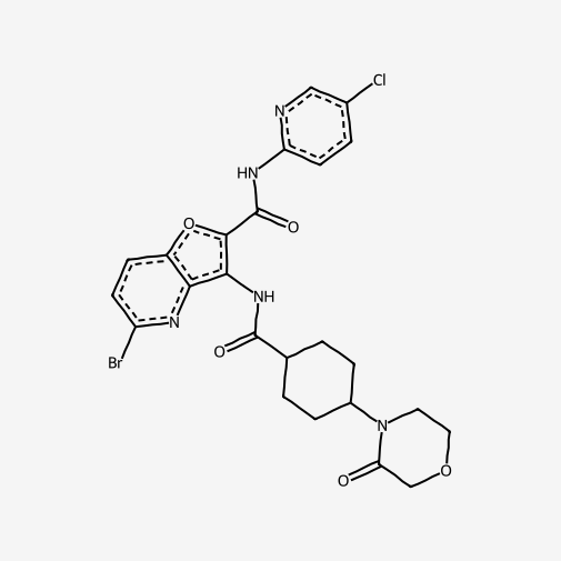 O=C(Nc1ccc(Cl)cn1)c1oc2ccc(Br)nc2c1NC(=O)C1CCC(N2CCOCC2=O)CC1